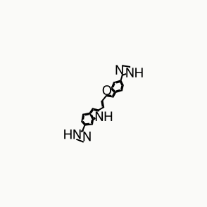 C(=C\c1cc2ccc(C3=NCCN3)cc2o1)/c1cc2ccc(C3=NCCN3)cc2[nH]1